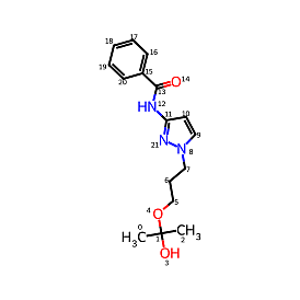 CC(C)(O)OCCCn1ccc(NC(=O)c2ccccc2)n1